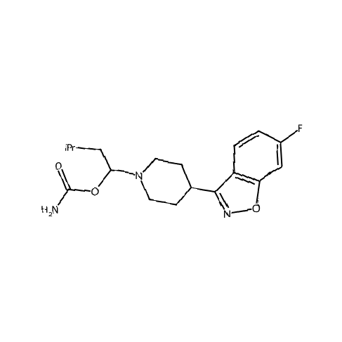 CC(C)CC(OC(N)=O)N1CCC(c2noc3cc(F)ccc23)CC1